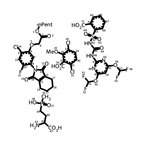 CCCCCOC(=O)COc1cc(N2C(=O)C3=C(CCCC3)C2=O)c(F)cc1Cl.COc1c(Cl)ccc(Cl)c1C(=O)O.CP(=O)(O)CCC(N)C(=O)O.O=C(Nc1nc(OC(F)F)cc(OC(F)F)n1)NS(=O)(=O)c1ccccc1C(=O)O